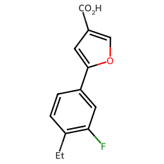 CCc1ccc(-c2cc(C(=O)O)co2)cc1F